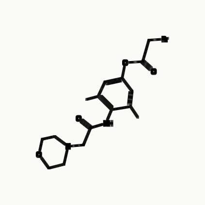 Cc1cc(OC(=O)CBr)cc(C)c1NC(=O)CN1CCOCC1